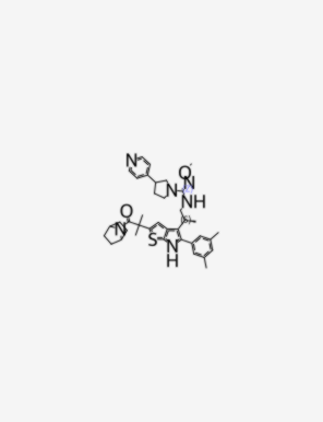 CO/N=C(/NC[C@@H](C)c1c(-c2cc(C)cc(C)c2)[nH]c2sc(C(C)(C)C(=O)N3C4CCC3CC4)cc12)N1CCC(c2ccncc2)C1